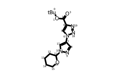 CC(C)(C)OC(=O)c1cn(-c2cnn(C3CCCCO3)c2)nn1